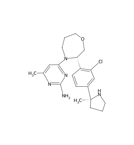 Cc1cc(N2CCCOC[C@@H]2c2ccc([C@]3(C)CCCN3)cc2Cl)nc(N)n1